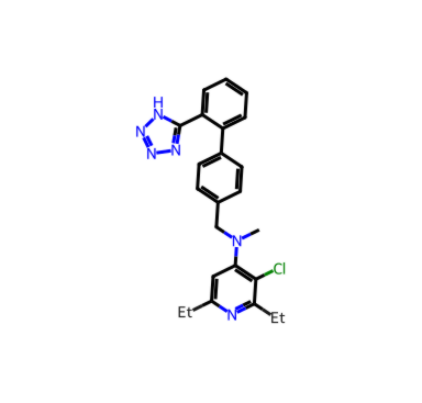 CCc1cc(N(C)Cc2ccc(-c3ccccc3-c3nnn[nH]3)cc2)c(Cl)c(CC)n1